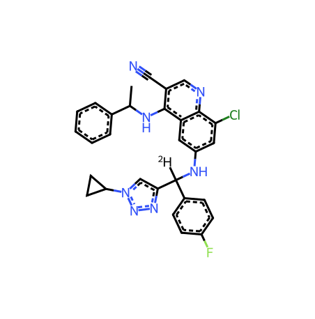 [2H]C(Nc1cc(Cl)c2ncc(C#N)c(NC(C)c3ccccc3)c2c1)(c1ccc(F)cc1)c1cn(C2CC2)nn1